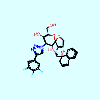 OC[C@H]1O[C@]2(OCC[C@H]2/N=C\C2(O)CC=Cc3ccccc32)[C@H](O)[C@@H](n2cc(-c3cc(F)c(F)c(F)c3)nn2)[C@H]1O